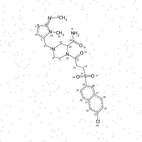 CN=c1scc(CN2CCN(C(=O)CCS(=O)(=O)c3ccc4cc(Cl)ccc4c3)C(C(N)=O)C2)n1C